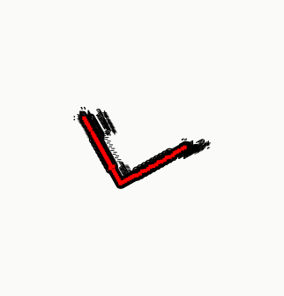 O=[Si]([O-])[O-].O=[Si]([O-])[O-].O=[Si]([O-])[O-].O=[Si]([O-])[O-].O=[Si]([O-])[O-].O=[Si]([O-])[O-].O=[Si]([O-])[O-].O=[Si]([O-])[O-].O=[Si]([O-])[O-].[O-2].[O-2].[O-2].[O-2].[O-2].[O-2].[O-2].[O-2].[O-2].[O-2].[O-2].[O-2].[O-2].[O-2].[O-2].[O-2].[O-2].[O-2].[O-2].[O-2].[O-2].[O-2].[O-2].[O-2].[O-2].[O-2].[O-2].[O]=[Ti]([O-])[O-].[O]=[Ti]([O-])[O-].[O]=[Ti]([O-])[O-].[O]=[Ti]([O-])[O-].[O]=[Ti]([O-])[O-].[O]=[Ti]([O-])[O-].[O]=[Ti]([O-])[O-].[O]=[Ti]([O-])[O-].[O]=[Ti]([O-])[O-].[Pb+2].[Pb+2].[Pb+2].[Pb+2].[Pb+2].[Pb+2].[Pb+2].[Pb+2].[Pb+2].[Pb+2].[Sn+4].[Sn+4].[Sn+4].[Sn+4].[Sn+4].[Sn+4].[Sn+4].[Sn+4].[Sn+4].[Sn+4].[Sn+4].[Sn+4].[Sn+4].[Sn+4].[Sn+4].[Zn+2].[Zn+2].[Zn+2].[Zn+2].[Zn+2]